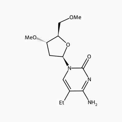 CCc1cn([C@H]2C[C@H](OC)[C@@H](COC)O2)c(=O)nc1N